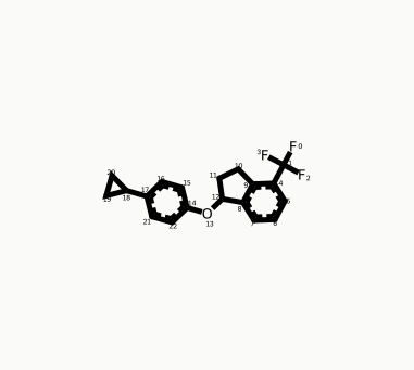 FC(F)(F)c1cccc2c1CCC2Oc1ccc(C2CC2)cc1